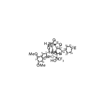 COc1cc(OC)c2cc(C(=O)NCC(O)(c3cc4c(c(-c5ccc(F)cc5)n3)OC[C@@]4(C(N)=O)C(F)F)C(F)(F)F)[nH]c2c1